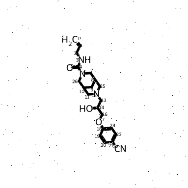 C=CCNC(=O)N1CC2CC(CN(CC(O)COc3ccc(C#N)cc3)C2)C1